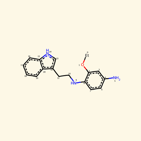 CCOc1cc(N)ccc1NCCc1c[nH]c2ccccc12